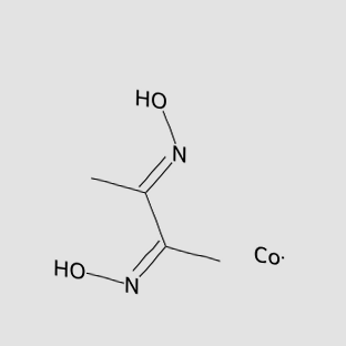 CC(=NO)C(C)=NO.[Co]